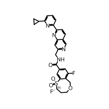 O=C(NCc1cc2nc(-c3cccc(C4CC4)n3)ccc2cn1)c1cc(F)c2c(c1)S(=O)(=O)[C@@H](F)CCOC2